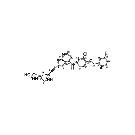 O=C(O)N[C@H]1CN[C@H](C#Cc2cc3c(Nc4ccc(OCc5cccc(F)c5)c(Cl)c4)ncnc3s2)C1